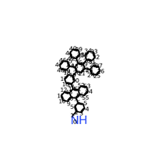 N=Cc1cccc(-c2c3ccccc3c(-c3cccc(-c4cc(-c5ccccc5)c(-c5ccccc5)c(-c5ccccc5)c4-c4ccccc4)c3)c3ccccc23)c1